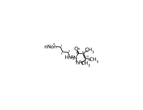 CCCCCCCCCCCCNN(CCC)C(=O)C(C)=C(C)C